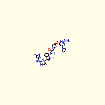 Cc1cnc(Nc2cc(C)n(C)n2)nc1-c1c[nH]c2c(NC(=O)CN3CC[C@H](Oc4cc(N5CCCC5)nc(N)n4)C3)cccc12